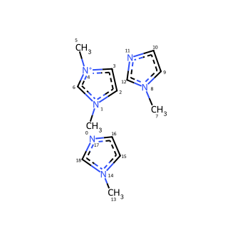 Cn1cc[n+](C)c1.Cn1ccnc1.Cn1ccnc1